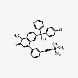 Cn1c(=O)cc(-c2cccc(C#C[Si](C)(C)C)c2)c2cc([C@](O)(c3ccc(Cl)cc3)c3cccnc3)ccc21